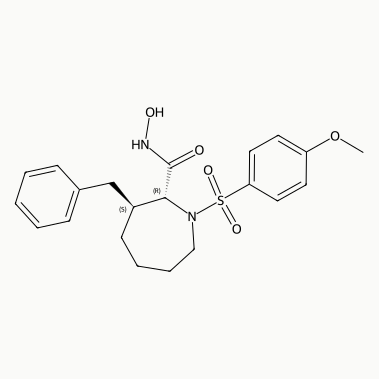 COc1ccc(S(=O)(=O)N2CCCC[C@@H](Cc3ccccc3)[C@@H]2C(=O)NO)cc1